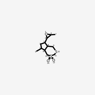 CC1CC(C2OC2C)C2CSCS(=O)(=O)CC12